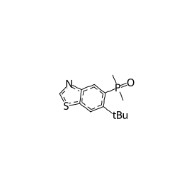 CC(C)(C)c1cc2scnc2cc1P(C)(C)=O